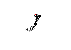 C=CC(=O)OCCc1ccc(C=Cc2ccc(N(c3ccccc3)c3ccccc3)cc2)cc1